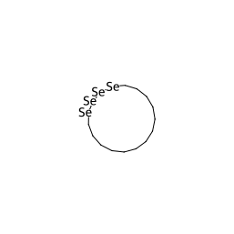 C1CCCCCC[Se][Se][Se][Se]CCCCCC1